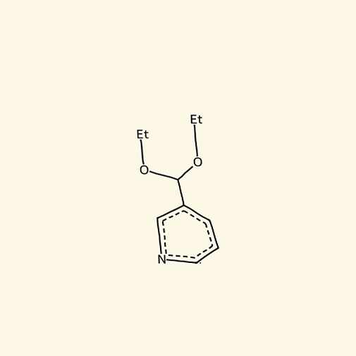 CCOC(OCC)c1cc[c]nc1